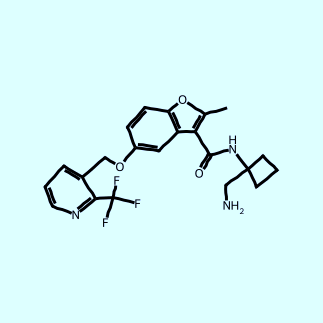 Cc1oc2ccc(OCc3cccnc3C(F)(F)F)cc2c1C(=O)NC1(CN)CCC1